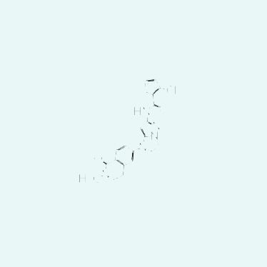 Cc1ccsc1C(=O)Nc1cc2n(n1)CCN2c1ccc2c(c1)CCN(C)C2=O